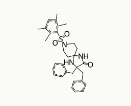 Cc1cc(C)c(C)c(S(=O)(=O)N2CCC3(CC2)NC(=O)C(Cc2ccccc2)(Cc2ccccc2)N3)c1C